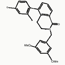 COc1cc(CN2CCc3c(cccc3-c3ccc(F)cc3C)C2=O)cc(OC)c1